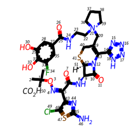 CC(C)(O/N=C(\C(=O)N[C@@H]1C(=O)N2C(c3nnn[nH]3)=C(C[N+]3(CCNC(=O)c4cc(O)c(O)c(F)c4)CCCC3)CS[C@H]12)c1nc(N)sc1Cl)C(=O)O